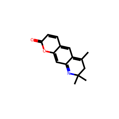 CC1=c2cc3ccc(=O)oc3cc2=NC(C)(C)C1